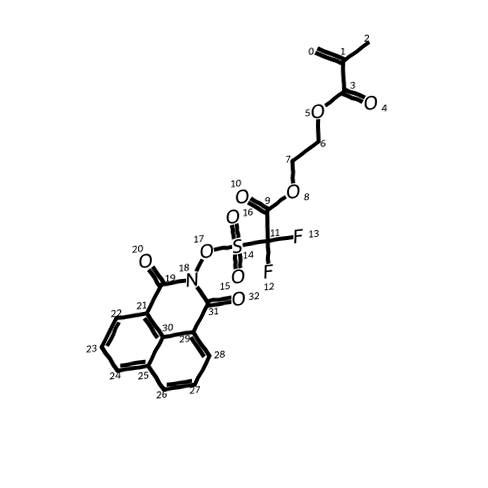 C=C(C)C(=O)OCCOC(=O)C(F)(F)S(=O)(=O)ON1C(=O)c2cccc3cccc(c23)C1=O